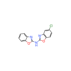 Clc1ccc2oc(Nc3nc4ccccc4o3)nc2c1